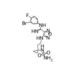 N=C(Nc1ccc(F)c(Br)c1)c1nonc1NCCC1(NS(N)(=O)=O)CC1